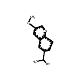 COc1cnc2ccc(C(C)O)cc2c1